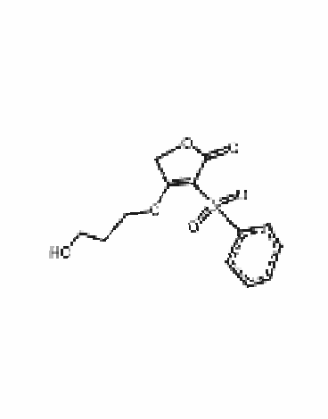 O=C1OCC(OCCCO)=C1S(=O)(=O)c1ccccc1